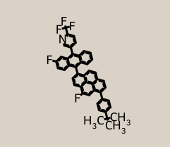 CC(C)(C)c1ccc(-c2ccc3ccc4c(-c5c6ccccc6c(-c6ccc(C(F)(F)F)nc6)c6cc(F)ccc56)ccc5c(F)cc2c3c54)cc1